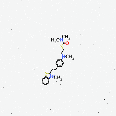 CN(C)C(=O)SCCN(C)c1ccc(/C=C/c2sc3ccccc3[n+]2C)cc1